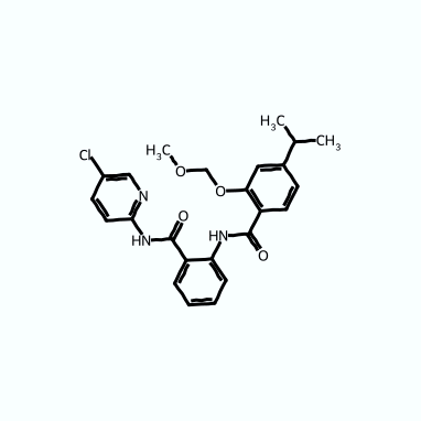 COCOc1cc(C(C)C)ccc1C(=O)Nc1ccccc1C(=O)Nc1ccc(Cl)cn1